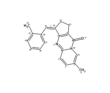 Cc1ccc2nc3c(c(=O)n2c1)CC/C3=C/c1ccccc1C